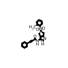 Cc1ccccc1S(=O)(=O)N1Cc2n[nH]c(NC(=O)C#Cc3ccccc3)c2C1